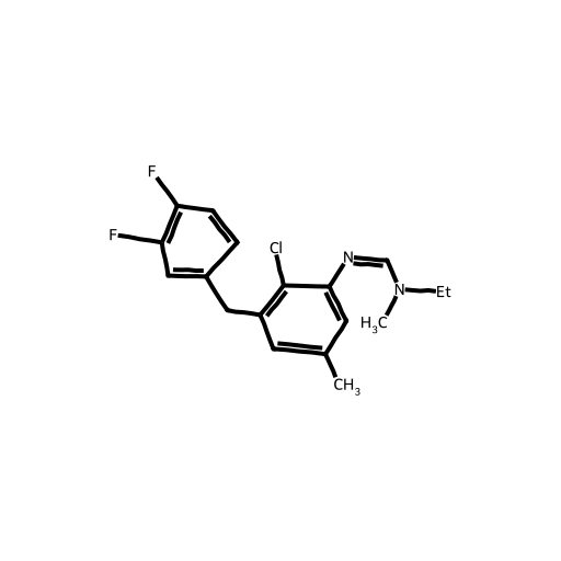 CCN(C)/C=N\c1cc(C)cc(Cc2ccc(F)c(F)c2)c1Cl